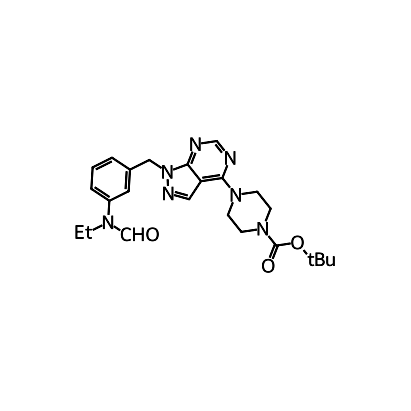 CCN(C=O)c1cccc(Cn2ncc3c(N4CCN(C(=O)OC(C)(C)C)CC4)ncnc32)c1